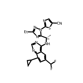 CCc1nc([C@H](C)Nc2ncnc3c(C4CC4)cc(C(F)F)cc23)n(-c2ncc(C#N)s2)n1